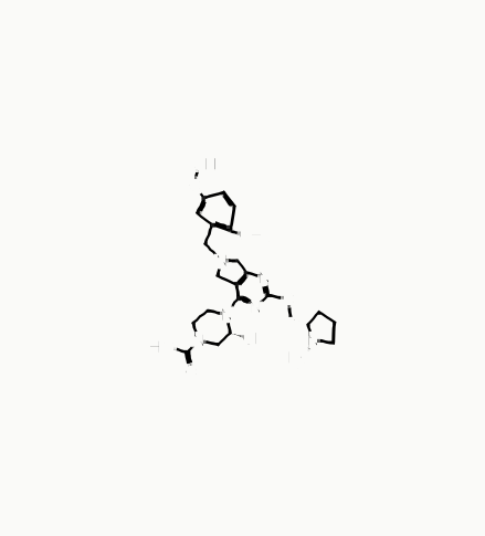 COc1ccc(C)c(CN2Cc3nc(OC[C@@H]4CCCN4C)nc(N4CCN(C(=O)O)C[C@@H]4C)c3C2)c1